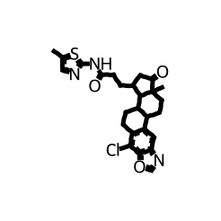 Cc1cnc(NC(=O)CCC2CC(=O)C3(C)CCC4c5cc6ncoc6c(Cl)c5CCC4C23)s1